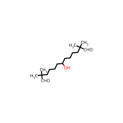 CC(C)(C=O)CCCCC(O)CCCCC(C)(C)C=O